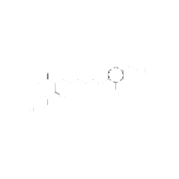 CCOC(=O)C(CCCCCOc1ccc(OC)cc1Cl)C(C)=O